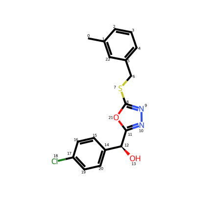 Cc1cccc(CSc2nnc([C@@H](O)c3ccc(Cl)cc3)o2)c1